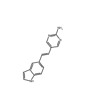 Nc1ncc(/C=C/c2ccc3[nH]ccc3c2)cn1